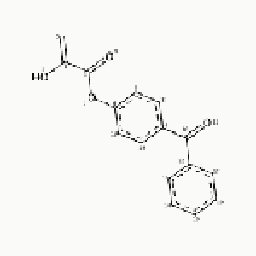 C=C(O)C(=O)Oc1ccc(C(=O)c2ccccc2)cc1